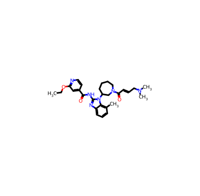 CCOc1cc(C(=O)Nc2nc3cccc(C)c3n2C2CCCCN(C(=O)C=CCN(C)C)C2)ccn1